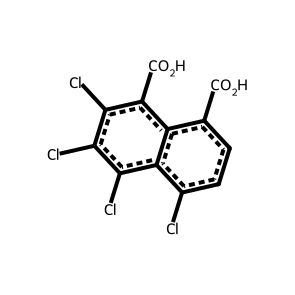 O=C(O)c1ccc(Cl)c2c(Cl)c(Cl)c(Cl)c(C(=O)O)c12